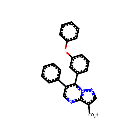 O=C(O)c1cnn2c(-c3cccc(Oc4ccccc4)c3)c(-c3ccccc3)cnc12